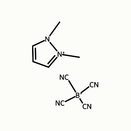 Cn1ccc[n+]1C.N#C[B-](C#N)(C#N)C#N